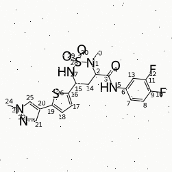 CN1C(C(=O)Nc2ccc(F)c(F)c2)CC(c2ccc(-c3cnn(C)c3)s2)NS1(=O)=O